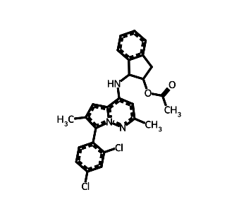 CC(=O)OC1Cc2ccccc2C1Nc1cc(C)nn2c(-c3ccc(Cl)cc3Cl)c(C)cc12